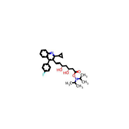 CC(C)N(OC(=O)C[C@H](O)C[C@H](O)/C=C/c1c(C2CC2)nc2ccccc2c1-c1ccc(F)cc1)C(C)C